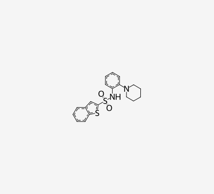 O=S(=O)(Nc1ccccc1N1CCCCC1)c1cc2ccccc2s1